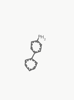 Pc1ccc(-c2ccccc2)cc1